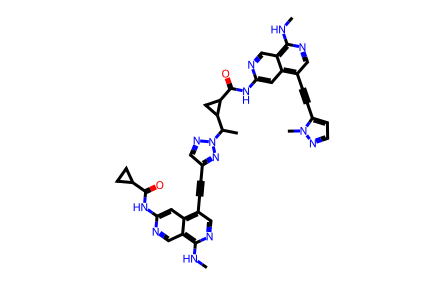 CNc1ncc(C#Cc2cnn(C(C)C3CC3C(=O)Nc3cc4c(C#Cc5ccnn5C)cnc(NC)c4cn3)n2)c2cc(NC(=O)C3CC3)ncc12